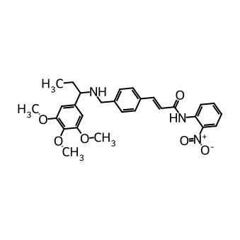 CCC(NCc1ccc(C=CC(=O)Nc2ccccc2[N+](=O)[O-])cc1)c1cc(OC)c(OC)c(OC)c1